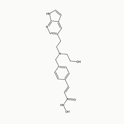 O=C(/C=C/c1ccc(CN(CCO)CCc2cnc3[nH]ccc3c2)cc1)NO